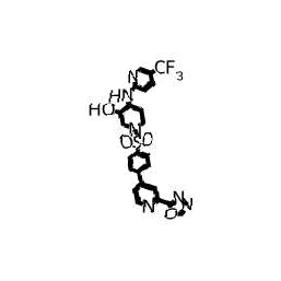 O=S(=O)(c1ccc(-c2ccnc(-c3nnco3)c2)cc1)N1CCC(Nc2ccc(C(F)(F)F)cn2)C(O)C1